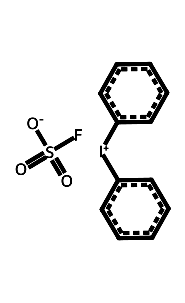 O=S(=O)([O-])F.c1ccc([I+]c2ccccc2)cc1